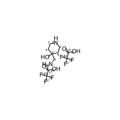 NCC1(O)CCNCC1.O=C(O)C(F)(F)F.O=C(O)C(F)(F)F